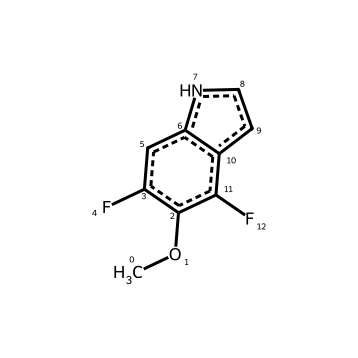 COc1c(F)cc2[nH]ccc2c1F